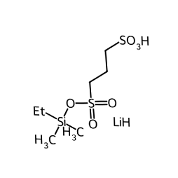 CC[Si](C)(C)OS(=O)(=O)CCCS(=O)(=O)O.[LiH]